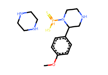 C1CNCCN1.COc1ccc(C2CNCCN2[PH](=S)S)cc1